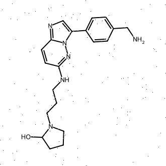 NCc1ccc(-c2cnc3ccc(NCCCN4CCCC4O)nn23)cc1